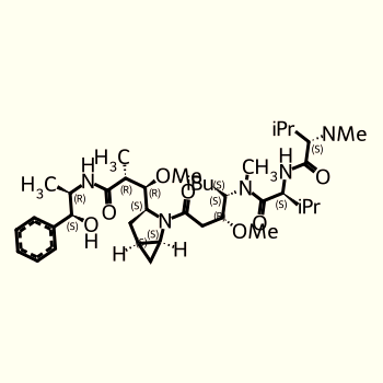 CC[C@H](C)[C@@H]([C@@H](CC(=O)N1[C@H]2C[C@H]2C[C@H]1[C@H](OC)[C@@H](C)C(=O)N[C@H](C)[C@@H](O)c1ccccc1)OC)N(C)C(=O)[C@@H](NC(=O)[C@@H](NC)C(C)C)C(C)C